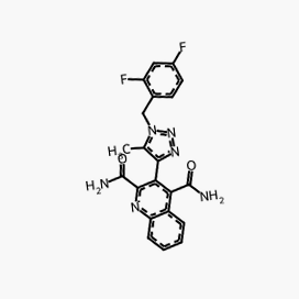 Cc1c(-c2c(C(N)=O)nc3ccccc3c2C(N)=O)nnn1Cc1ccc(F)cc1F